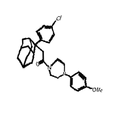 COc1ccc(N2CCN(C(=O)CC3(c4ccc(Cl)cc4)C4CC5CC(C4)CC3C5)CC2)cc1